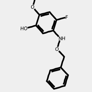 COc1cc(F)c(NOCc2ccccc2)cc1O